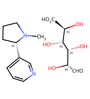 CN1CCC[C@H]1c1cccnc1.O=C[C@H](O)[C@@H](O)[C@H](O)[C@H](O)C(=O)O